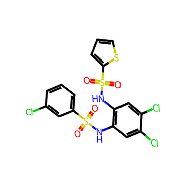 O=S(=O)(Nc1cc(Cl)c(Cl)cc1NS(=O)(=O)c1cccs1)c1cccc(Cl)c1